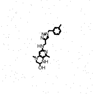 Cc1cccc(Cn2cc(CNc3cc4c(c(C)n3)NC(O)CN4C)nn2)c1